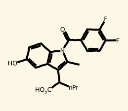 CCCC(C(=O)O)c1c(C)n(C(=O)c2ccc(F)c(F)c2)c2ccc(O)cc12